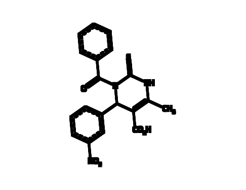 CC1=C(C(=O)O)C(c2cccc([N+](=O)[O-])c2)N(C(=O)c2ccccc2)C(=S)N1